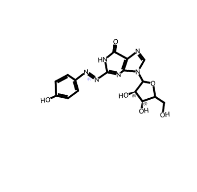 O=c1[nH]c(/N=N/c2ccc(O)cc2)nc2c1ncn2C1OC(CO)[C@@H](O)[C@H]1O